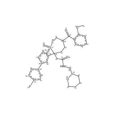 COc1ccccc1C(=O)N1CCC(CC(=O)NOC2CCCCO2)(c2ccc(-c3ccc(F)cc3)s2)S(=O)(=O)CC1